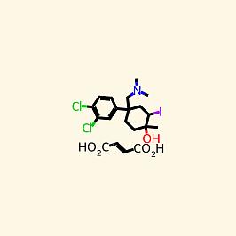 CN(C)CC1(c2ccc(Cl)c(Cl)c2)CCC(C)(O)C(I)C1.O=C(O)C=CC(=O)O